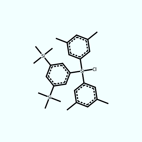 Cc1cc(C)cc([Si](Cl)(c2cc(C)cc(C)c2)c2cc([Si](C)(C)C)cc([Si](C)(C)C)c2)c1